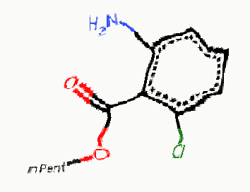 CCCCCOC(=O)c1c(N)cccc1Cl